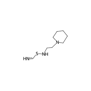 N=CSNCCN1CCCCC1